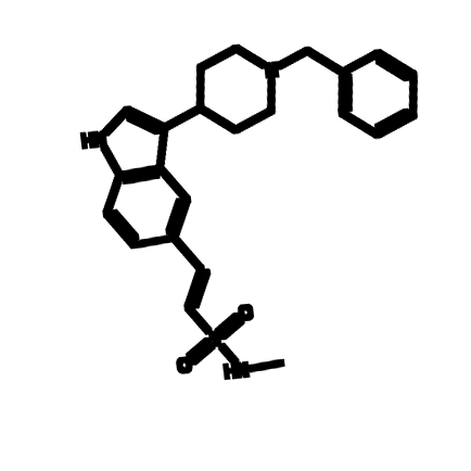 CNS(=O)(=O)C=Cc1ccc2[nH]cc(C3CCN(Cc4ccccc4)CC3)c2c1